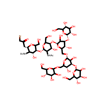 CC(=O)NC1[C@H](O[C@@H]2C(CO)O[C@@H](CC(=O)CBr)C(NC(C)=O)[C@H]2O)OC(CO)[C@@H](O[C@@H]2OC(CO[C@H]3OC(COC4OC(CO)[C@@H](O)[C@H](O)C4O)[C@@H](O)[C@H](O[C@@H]4OC(CO)[C@@H](O)[C@H](O)C4O)C3O)[C@@H](O)[C@H](O[C@@H]3OC(CO)[C@H](O)C(O)[C@@H]3O)C2O)[C@@H]1O